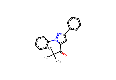 CC(C)(C)C(=O)c1cc(-c2ccccc2)nn1-c1ccccc1